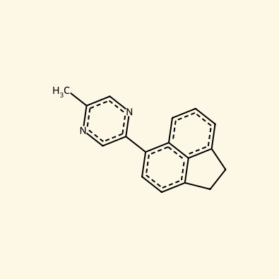 Cc1cnc(-c2ccc3c4c(cccc24)CC3)cn1